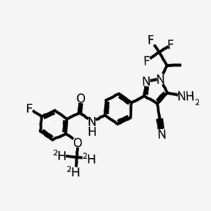 [2H]C([2H])([2H])Oc1ccc(F)cc1C(=O)Nc1ccc(-c2nn(C(C)C(F)(F)F)c(N)c2C#N)cc1